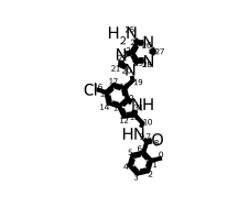 Cc1ccccc1C(=O)NCc1cc2cc(Cl)cc(Cn3cnc4c(N)ncnc43)c2[nH]1